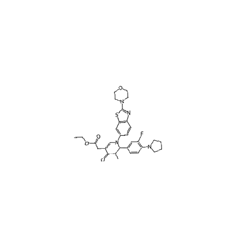 CCOC(=O)CC1=CN(c2ccc3nc(N4CCOCC4)sc3c2)C(c2ccc(N3CCCC3)c(F)c2)C(C)C1=O